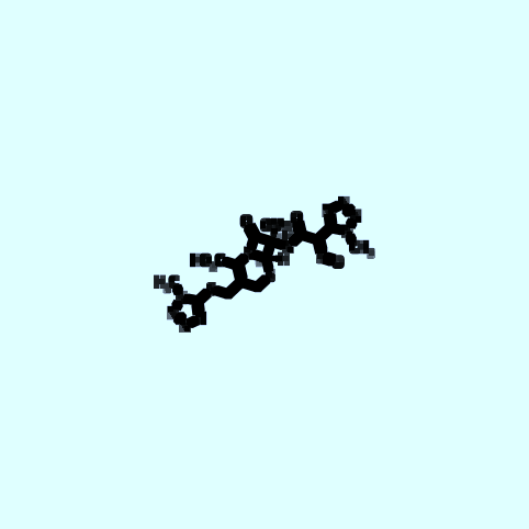 CO[C@@]1(NC(=O)C(=S=O)c2nnnn2C)C(=O)N2C(C(=O)O)=C(CSc3nnnn3C)CS[C@@H]21